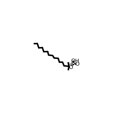 CCCCCCCCCCCCCC(C)(C)O[PH](=O)O